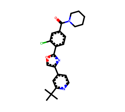 CC(C)(C)c1cc(-c2coc(-c3ccc(C(=O)N4CCCCC4)cc3Cl)n2)ccn1